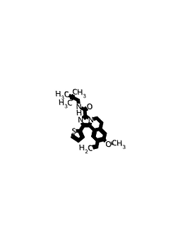 C=Cc1cc2c(cc1OC)CCn1c(C(=O)NCC(C)(C)C)nc(-c3cccs3)c1-2